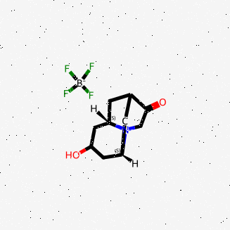 F[B-](F)(F)F.O=C1CN2[C@@H]3CC(O)C[C@@H]2CC1C3